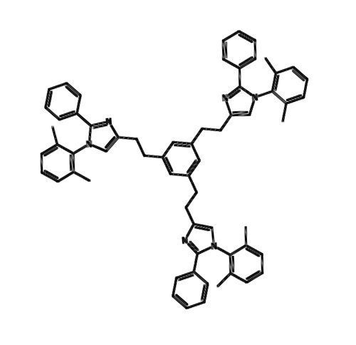 Cc1cccc(C)c1-n1cc(CCc2cc(CCc3cn(-c4c(C)cccc4C)c(-c4ccccc4)n3)cc(CCc3cn(-c4c(C)cccc4C)c(-c4ccccc4)n3)c2)nc1-c1ccccc1